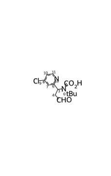 CC(C)(C)N(C(=O)O)C(CC=O)c1cc(Cl)ccn1